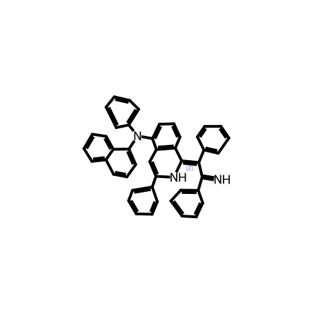 N=C(/C(=C1\NC(c2ccccc2)=Cc2c1cccc2N(c1ccccc1)c1cccc2ccccc12)c1ccccc1)c1ccccc1